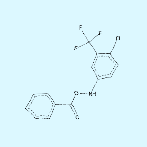 O=C(ONc1ccc(Cl)c(C(F)(F)F)c1)c1ccccc1